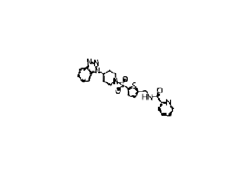 O=C(NCc1ccc(S(=O)(=O)N2CCC(n3nnc4ccccc43)CC2)s1)c1ccccn1